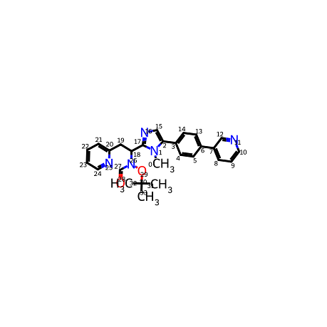 Cn1c(-c2ccc(-c3cccnc3)cc2)cnc1C(Cc1ccccn1)N(C=O)OC(C)(C)C